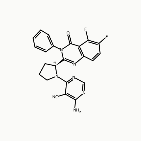 N#Cc1c(N)ncnc1N1CCC[C@H]1c1nc2ccc(F)c(F)c2c(=O)n1-c1ccccc1